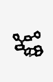 c1ccc(-c2ccc(N(c3ccccc3)c3cccc(-c4ccc5c(c4)-c4cccc6cccc(c46)O5)c3)cc2)cc1